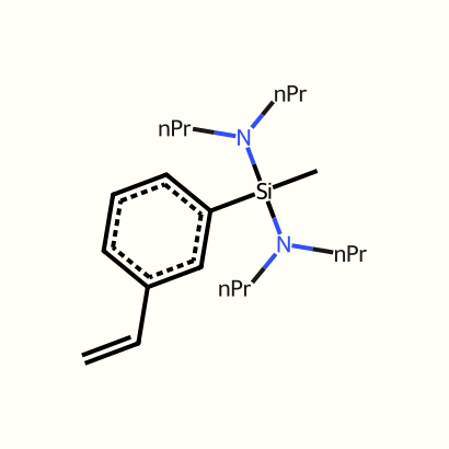 C=Cc1cccc([Si](C)(N(CCC)CCC)N(CCC)CCC)c1